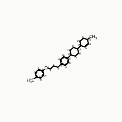 Cc1ccc(OCCCc2ccc(C3CCC(C4C=CC(C)CC4)CC3)cc2)cc1